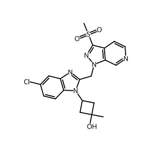 CC1(O)CC(n2c(Cn3nc(S(C)(=O)=O)c4ccncc43)nc3cc(Cl)ccc32)C1